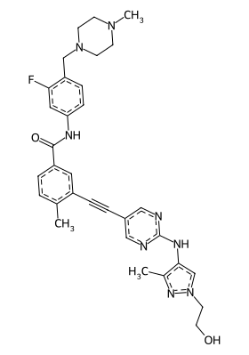 Cc1ccc(C(=O)Nc2ccc(CN3CCN(C)CC3)c(F)c2)cc1C#Cc1cnc(Nc2cn(CCO)nc2C)nc1